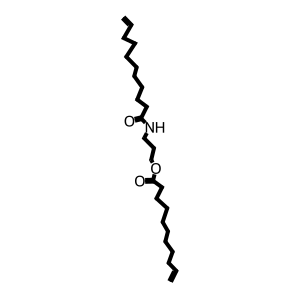 C=CCCCCCCCCC(=O)NCCCOC(=O)CCCCCCCCC=C